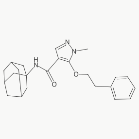 Cn1ncc(C(=O)NC23CC4CC(CC(C4)C2)C3)c1OCCc1ccccc1